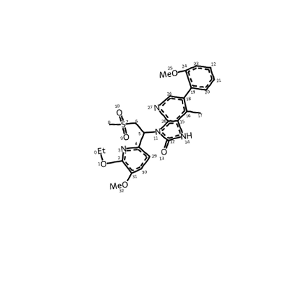 CCOc1nc(C(CS(C)(=O)=O)n2c(=O)[nH]c3c(C)c(-c4ccccc4OC)cnc32)ccc1OC